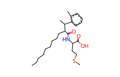 CCCCCCCCCC(C(=O)NC(CCSC)C(=O)O)C(C)c1ccccc1C